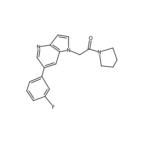 O=C(Cn1ccc2ncc(-c3cccc(F)c3)cc21)N1CCCC1